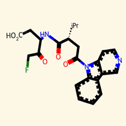 CC(C)[C@H](CC(=O)n1c2ccccc2c2cnccc21)C(=O)NC(CC(=O)O)C(=O)CF